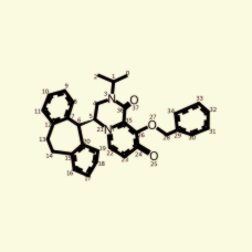 CC(C)N1C[C@H](C2c3ccccc3CCc3ccccc32)n2ccc(=O)c(OCc3ccccc3)c2C1=O